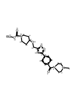 CN1CCN(C(=O)c2ccc(-c3nc(COC4CCN(C(=O)OC(C)(C)C)CC4)no3)cc2)CC1